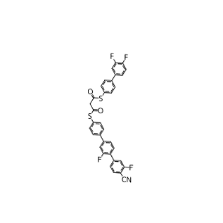 N#Cc1ccc(-c2ccc(-c3ccc(SC(=O)CC(=O)Sc4ccc(-c5ccc(F)c(F)c5)cc4)cc3)cc2F)cc1F